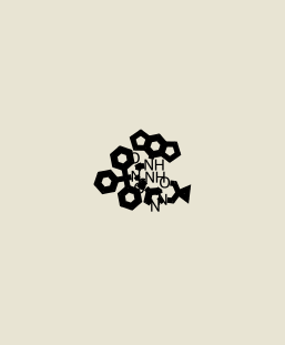 N=S(=O)(c1cnn2c1OCC1(CC1)C2)N(C(=O)Nc1c2c(cc3c1CCC3)CCC2)C(c1ccccc1)(c1ccccc1)c1ccccc1